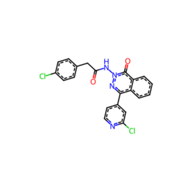 O=C(Cc1ccc(Cl)cc1)Nn1nc(-c2ccnc(Cl)c2)c2ccccc2c1=O